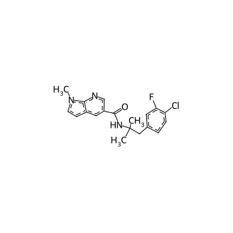 Cn1ccc2cc(C(=O)NC(C)(C)Cc3ccc(Cl)c(F)c3)cnc21